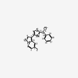 Cc1ccn2ncc(-c3csc([S+]([O-])c4ccccc4)n3)c2c1